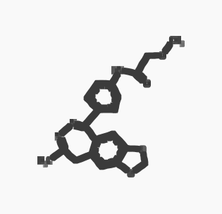 COCC(=O)Nc1ccc(C2=NN=C(C)Cc3cc4c(cc32)OCO4)cc1